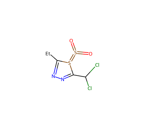 CCC1=NN=C(C(Cl)Cl)S1=S(=O)=O